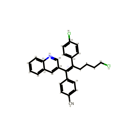 N#Cc1ccc(/C(=C(\CCCCCl)c2ccc(Cl)cc2)c2cnc3ccccc3c2)cc1